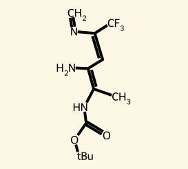 C=N/C(=C\C(N)=C(/C)NC(=O)OC(C)(C)C)C(F)(F)F